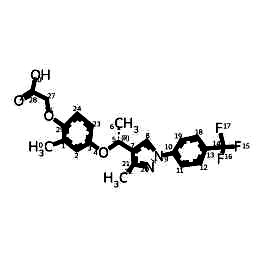 Cc1cc(O[C@H](C)c2cn(-c3ccc(C(F)(F)F)cc3)nc2C)ccc1OCC(=O)O